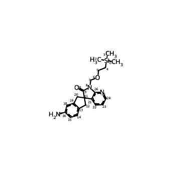 C[Si](C)(C)CCOCN1C(=O)C2(Cc3ccc(N)cc3C2)c2cccnc21